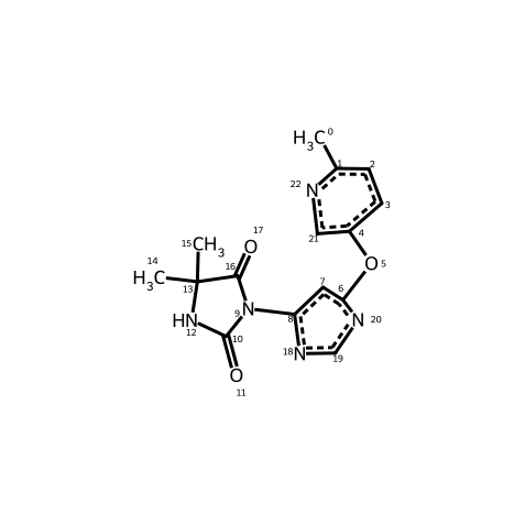 Cc1ccc(Oc2cc(N3C(=O)NC(C)(C)C3=O)ncn2)cn1